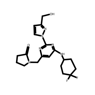 O=C1CCCN1Cc1cc(NC2CCC(F)(F)CC2)nc(-n2ccc(CO)n2)n1